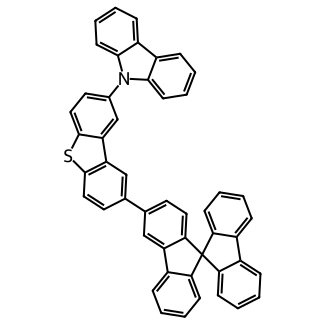 c1ccc2c(c1)-c1ccccc1C21c2ccccc2-c2cc(-c3ccc4sc5ccc(-n6c7ccccc7c7ccccc76)cc5c4c3)ccc21